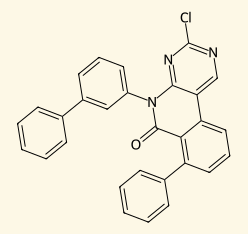 O=c1c2c(-c3ccccc3)cccc2c2cnc(Cl)nc2n1-c1cccc(-c2ccccc2)c1